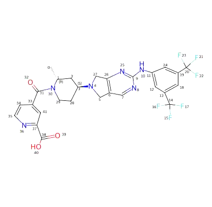 C[C@@H]1C[C@@H](N2Cc3cnc(Nc4cc(C(F)(F)F)cc(C(F)(F)F)c4)nc3C2)CCN1C(=O)c1ccnc(C(=O)O)c1